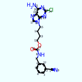 N#Cc1cccc(CNC(=O)OCCCCn2cnc3c(N)nc(Cl)nc32)c1